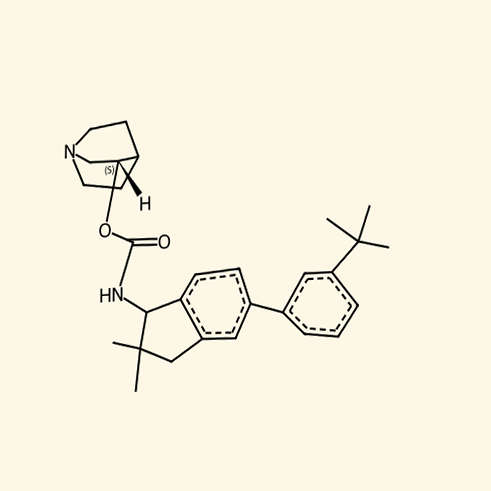 CC(C)(C)c1cccc(-c2ccc3c(c2)CC(C)(C)C3NC(=O)O[C@@H]2CN3CCC2CC3)c1